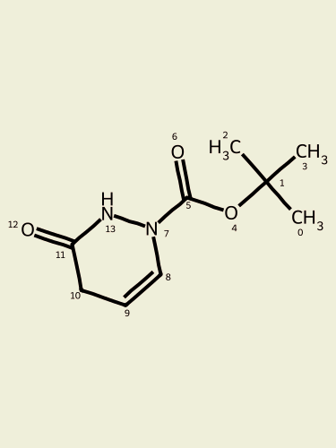 CC(C)(C)OC(=O)N1C=CCC(=O)N1